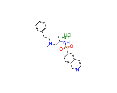 CC(CN(C)CCc1ccccc1)NS(=O)(=O)c1ccc2cnccc2c1.Cl.Cl